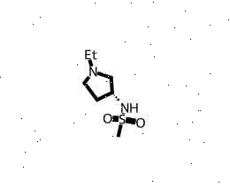 CCN1CC[C@@H](NS(C)(=O)=O)C1